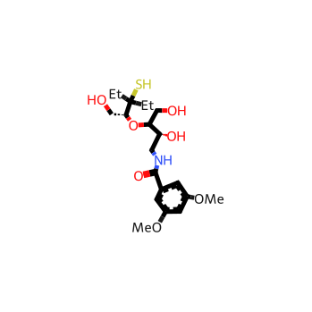 CCC(S)(CC)[C@@H](CO)OC(CO)[C@H](O)CNC(=O)c1cc(OC)cc(OC)c1